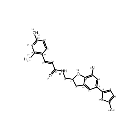 CC(=O)c1ccc(-c2cc(Cl)c3c(c2)CC(CNC(=O)C=Cc2ccc(C)nc2C)O3)s1